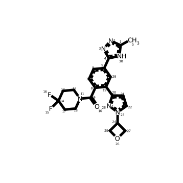 Cc1nnc(-c2ccc(C(=O)N3CCC(F)(F)CC3)c(-c3ccn(C4COC4)n3)c2)[nH]1